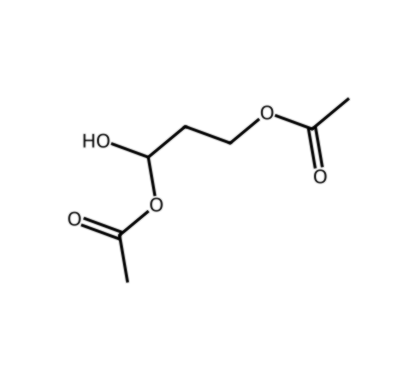 CC(=O)OCCC(O)OC(C)=O